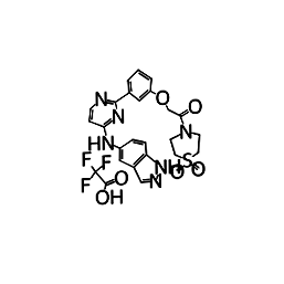 O=C(COc1cccc(-c2nccc(Nc3ccc4[nH]ncc4c3)n2)c1)N1CCS(=O)(=O)CC1.O=C(O)C(F)(F)F